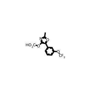 Cc1nc(OC(=O)O)c(-c2cccc(OC(F)(F)F)c2)o1